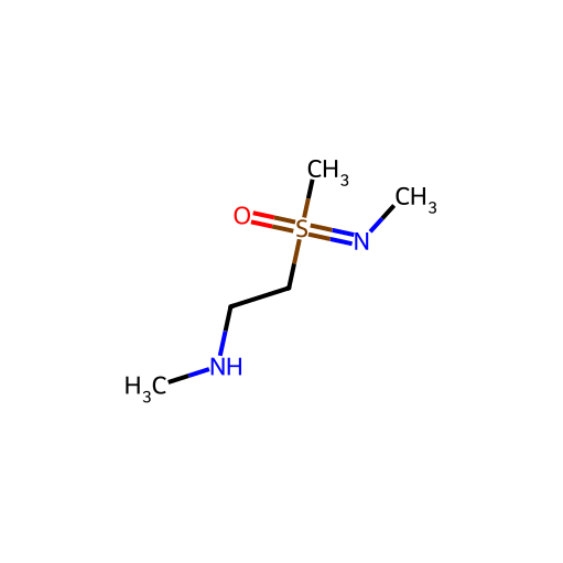 CN=S(C)(=O)CCNC